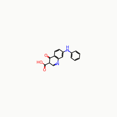 O=C(O)C1C=Nc2cc(Nc3ccccc3)ccc2C1=O